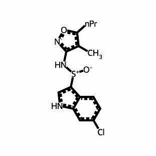 CCCc1onc(N[S+]([O-])c2c[nH]c3cc(Cl)ccc23)c1C